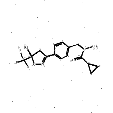 CN(Cc1ccc(C2=NOC(O)(C(F)(F)F)C2)cc1)C(=O)C1CC1